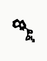 C[C@@H]1O[C@H]1c1ccc2ccccc2n1